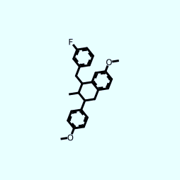 COc1ccc(C2Cc3ccc(OC)cc3C(Cc3cccc(F)c3)C2C)cc1